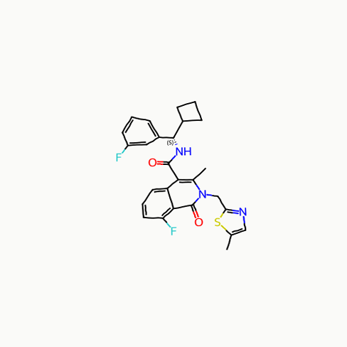 Cc1cnc(Cn2c(C)c(C(=O)N[C@H](c3cccc(F)c3)C3CCC3)c3cccc(F)c3c2=O)s1